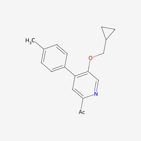 CC(=O)c1cc(-c2ccc(C)cc2)c(OCC2CC2)cn1